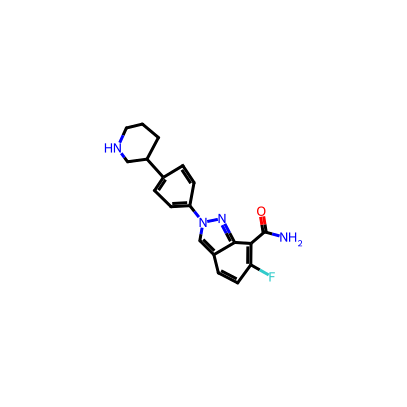 NC(=O)c1c(F)ccc2cn(-c3ccc(C4CCCNC4)cc3)nc12